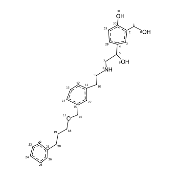 OCc1cc(C(O)CNCCc2cccc(COCCCc3ccccc3)c2)ccc1O